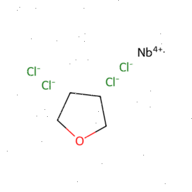 C1CCOC1.[Cl-].[Cl-].[Cl-].[Cl-].[Nb+4]